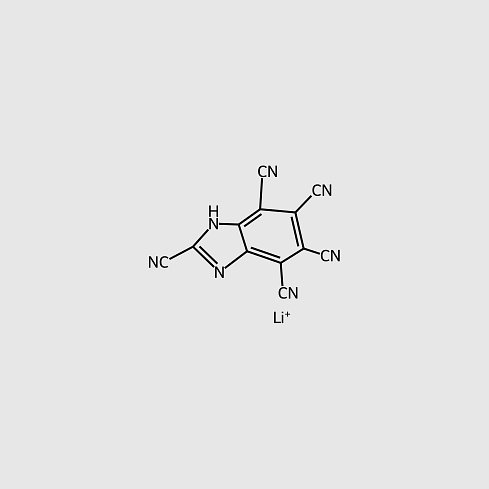 N#Cc1nc2c(C#N)c(C#N)c(C#N)c(C#N)c2[nH]1.[Li+]